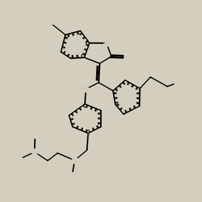 CN(C)CCN(C)Cc1ccc(NC(=C2C(=O)Nc3cc(Cl)ccc32)c2cccc(CCC(=O)O)c2)cc1